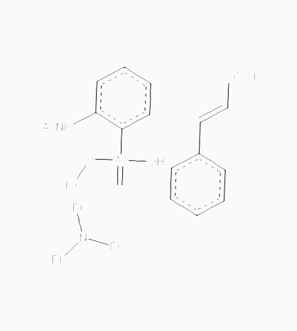 CC(=O)Nc1ccccc1[As](=O)(O)OO.CCN(CC)CC.O=C(O)C=Cc1ccccc1